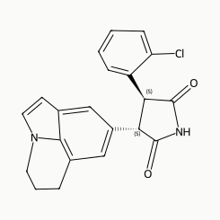 O=C1NC(=O)[C@H](c2ccccc2Cl)[C@H]1c1cc2c3c(ccn3CCC2)c1